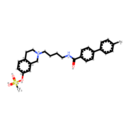 CC(=O)c1ccc(-c2ccc(C(=O)NCCCCN3CCc4ccc(OS(=O)(=O)C(F)(F)F)cc4C3)cc2)cc1